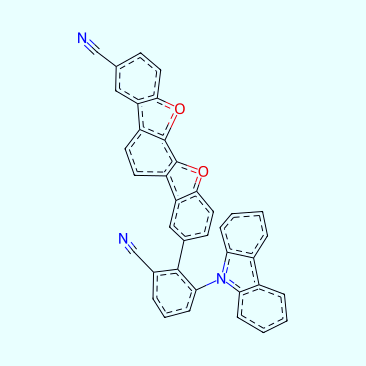 N#Cc1ccc2oc3c(ccc4c5cc(-c6c(C#N)cccc6-n6c7ccccc7c7ccccc76)ccc5oc43)c2c1